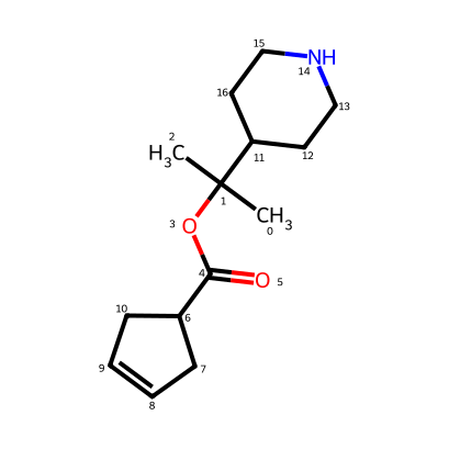 CC(C)(OC(=O)C1CC=CC1)C1CCNCC1